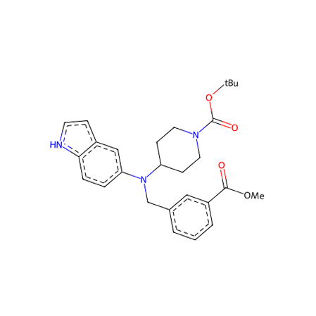 COC(=O)c1cccc(CN(c2ccc3[nH]ccc3c2)C2CCN(C(=O)OC(C)(C)C)CC2)c1